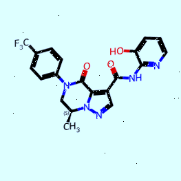 C[C@H]1CN(c2ccc(C(F)(F)F)cc2)C(=O)c2c(C(=O)Nc3ncccc3O)cnn21